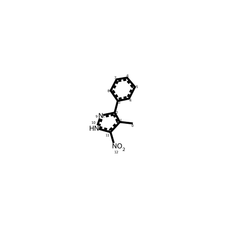 Cc1c(-c2ccccc2)n[nH]c1[N+](=O)[O-]